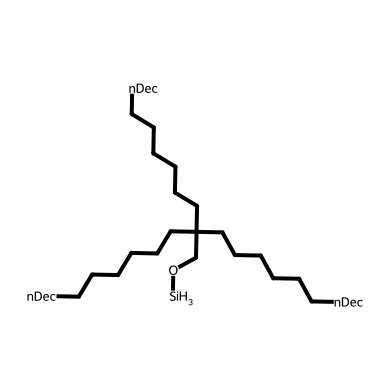 CCCCCCCCCCCCCCCCC(CCCCCCCCCCCCCCCC)(CCCCCCCCCCCCCCCC)CO[SiH3]